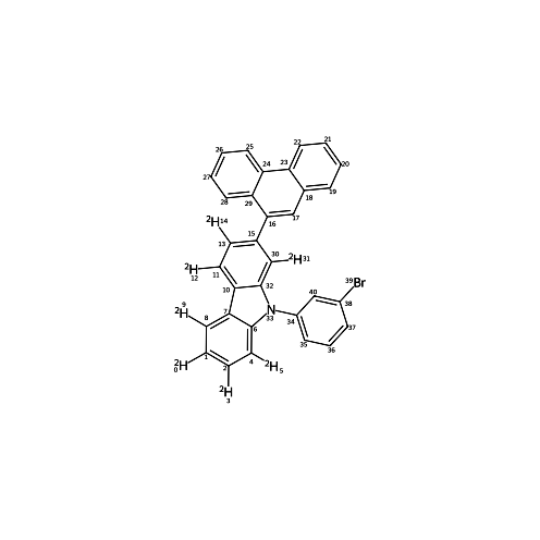 [2H]c1c([2H])c([2H])c2c(c1[2H])c1c([2H])c([2H])c(-c3cc4ccccc4c4ccccc34)c([2H])c1n2-c1cccc(Br)c1